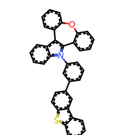 c1cc(-c2ccc3sc4ccccc4c3c2)cc(-n2c3c(c4ccccc42)-c2ccccc2Oc2ccccc2-3)c1